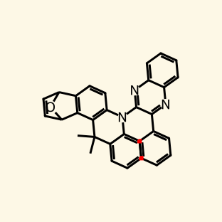 CC1(C)c2ccccc2N(c2nc3ccccc3nc2-c2ccccc2)c2ccc3c(c21)C1C=CC3O1